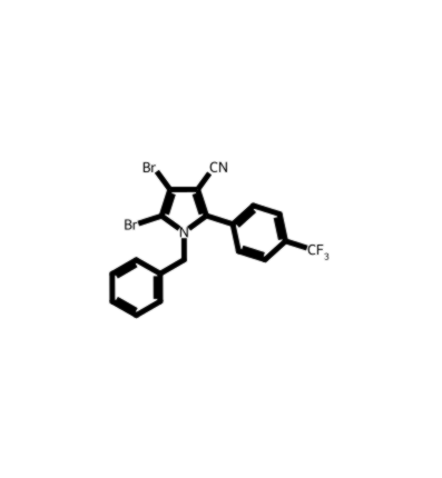 N#Cc1c(Br)c(Br)n(Cc2ccccc2)c1-c1ccc(C(F)(F)F)cc1